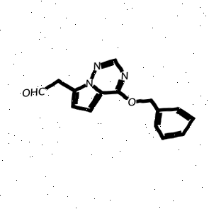 O=CCc1ccc2c(OCc3ccccc3)ncnn12